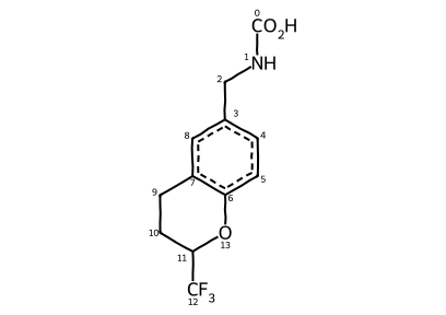 O=C(O)NCc1ccc2c(c1)CCC(C(F)(F)F)O2